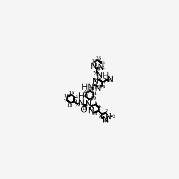 Cn1cc(-c2ccc(N(C(=O)NCc3ccccc3)C3CCC(Nc4ncc(C#N)c(NCc5ncccn5)n4)CC3)nc2)cn1